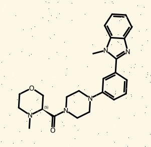 CN1CCOC[C@H]1C(=O)N1CCN(c2cccc(-c3nc4ccccc4n3C)c2)CC1